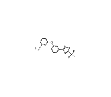 Cc1cccc(Oc2[c]ccc(-c3noc(C(F)(F)F)n3)c2)c1